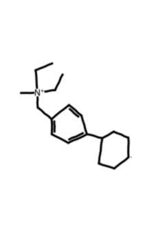 CC[N+](C)(CC)Cc1ccc(C2CC[CH]CC2)cc1